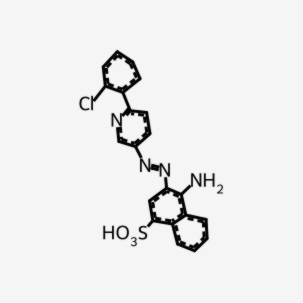 Nc1c(/N=N/c2ccc(-c3ccccc3Cl)nc2)cc(S(=O)(=O)O)c2ccccc12